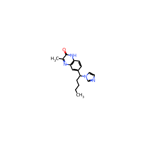 CCCCC(c1ccc2[nH]c(=O)c(C)nc2c1)n1ccnc1